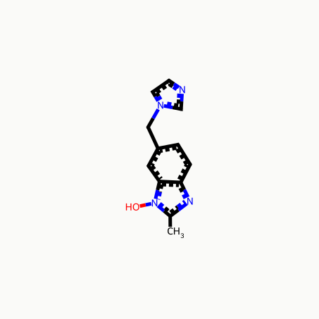 Cc1nc2ccc(Cn3ccnc3)cc2n1O